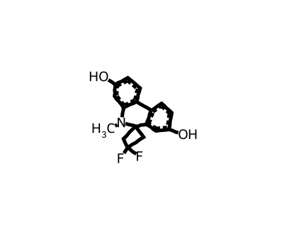 CN1c2cc(O)ccc2-c2ccc(O)cc2C12CC(F)(F)C2